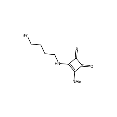 CNc1c(NCCCCC(C)C)c(=S)c1=O